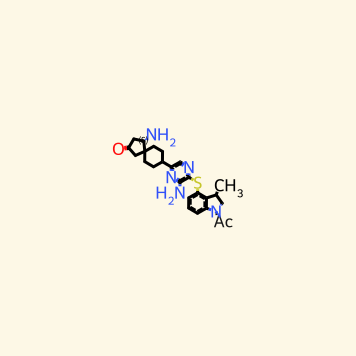 CC(=O)N1CC(C)c2c(Sc3ncc(C4CCC5(CC4)CC(=O)C[C@@H]5N)nc3N)cccc21